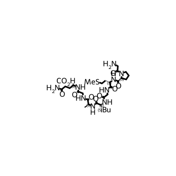 CC[C@H](C)[C@H](NC(=O)CNC(=O)[C@H](CCSC)NC(=O)[C@@H]1CCCN1C(=O)CN)C(=O)N[C@@H](C)C(=O)NCC(=O)N[C@@H](CCC(N)=O)C(=O)O